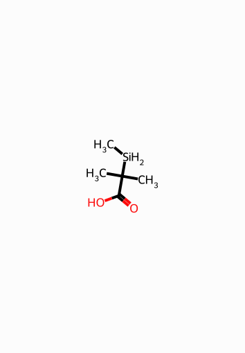 C[SiH2]C(C)(C)C(=O)O